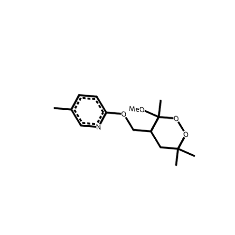 COC1(C)OOC(C)(C)CC1COc1ccc(C)cn1